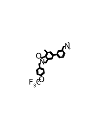 Cc1cc(-c2cccc(CN(C)C)c2)cc2c1C(=O)N(Cc1ccc(OC(F)(F)F)cc1)C2